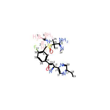 BC(B)(B)N=S(=O)(Cc1cc(-c2cc(-c3cnc(CC)cn3)no2)ccc1F)C(C)(C)/C(N)=N\C